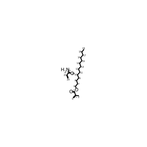 C=C(C)C(=O)OCCCCCCCCCCCCCC.C=CC(N)=O